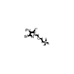 CC(C)c1c(Br)nn(COCC[Si](C)(C)C)c1I